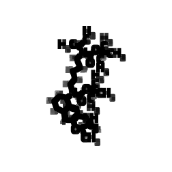 CC1Oc2cc3c(cc2NC1=S)C(N(CCCCCN(C(=O)OC(C)(C)C)C(C)C)C(=O)OC(C)(C)C)CCC3